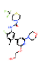 Cc1cc(F)c(NC(=O)N2CCS[C@@H](C(F)(F)F)C2)cc1-c1cc(OCCO)nc(N2CCOCC2)c1